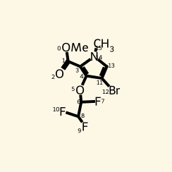 COC(=O)c1c(OC(F)C(F)F)c(Br)cn1C